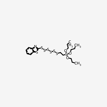 CCCO[Si](CCSSSSSSc1nc2ccccc2s1)(OCCC)OCCC